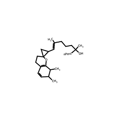 CCCCCC(C)(O)CCC/C(C)=C/C1CC12CCC1=C(O2)C(C)C(C)C=C1